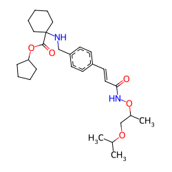 CC(C)OCC(C)ONC(=O)/C=C/c1ccc(CNC2(C(=O)OC3CCCC3)CCCCC2)cc1